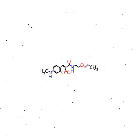 CCCOCCNC(=O)c1cc2ccc(NC)cc2oc1=O